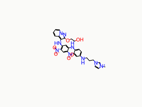 C[n+]1ccn(CCCNc2ccc(Nc3cc(Nc4c(OCCO)nn5ccccc45)c([N+](=O)[O-])cc3[N+](=O)[O-])cc2)c1